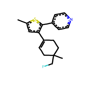 Cc1[c]c(C2=CCC(C)(CF)CC2)c(-c2ccncc2)s1